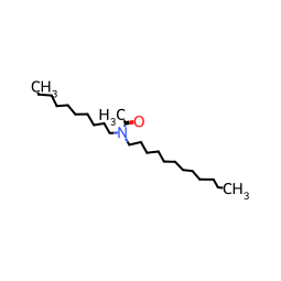 CCCCCCCCCCCCN(CCCCCCCCCC)C(C)=O